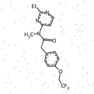 CCc1nccc(N(C)C(=O)Cc2ccc(OCC(F)(F)F)cc2)n1